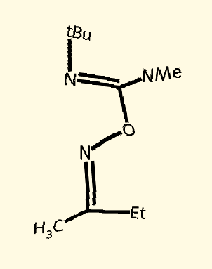 CC/C(C)=N\OC(=NC(C)(C)C)NC